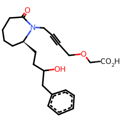 O=C(O)COCC#CCN1C(=O)CCCC[C@@H]1CCC(O)Cc1ccccc1